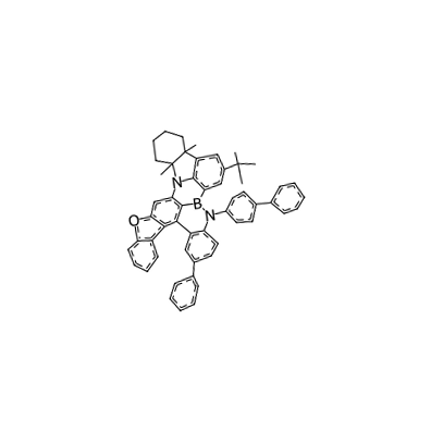 CC(C)(C)c1cc2c3c(c1)C1(C)CCCCC1(C)N3c1cc3oc4ccccc4c3c3c1B2N(c1ccc(-c2ccccc2)cc1)c1ccc(-c2ccccc2)cc1-3